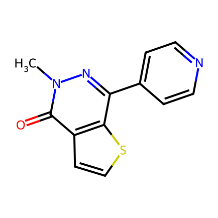 Cn1nc(-c2ccncc2)c2sccc2c1=O